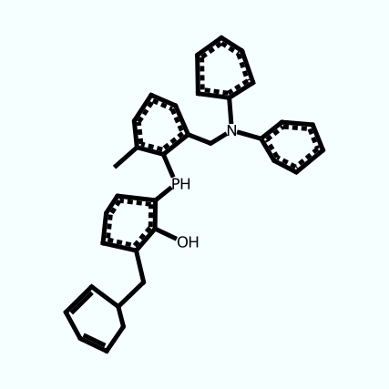 Cc1cccc(CN(c2ccccc2)c2ccccc2)c1Pc1cccc(CC2C=CC=CC2)c1O